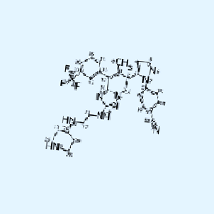 Cc1c(-c2ccnn2-c2ccc(C#N)cc2)cn2nc(NCCNC3CCNCC3)nc2c1-c1cccc(C(F)(F)F)c1